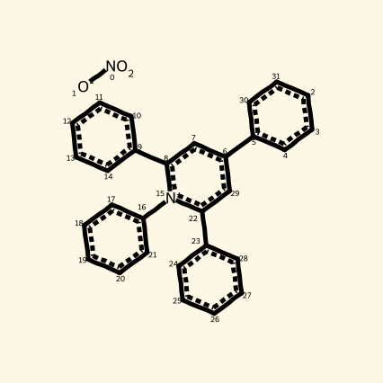 O=[N+]([O-])[O-].c1ccc(-c2cc(-c3ccccc3)[n+](-c3ccccc3)c(-c3ccccc3)c2)cc1